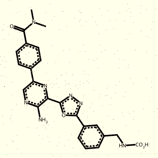 CN(C)C(=O)c1ccc(-c2cnc(N)c(-c3nnc(-c4cccc(CNC(=O)O)c4)o3)n2)cc1